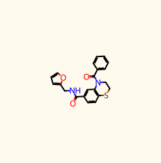 O=C(NCc1ccco1)c1ccc2c(c1)N(C(=O)c1ccccc1)CCS2